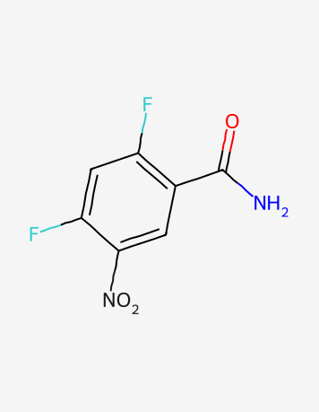 NC(=O)c1cc([N+](=O)[O-])c(F)cc1F